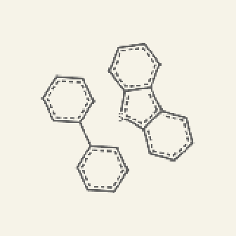 c1ccc(-c2ccccc2)cc1.c1ccc2c(c1)sc1ccccc12